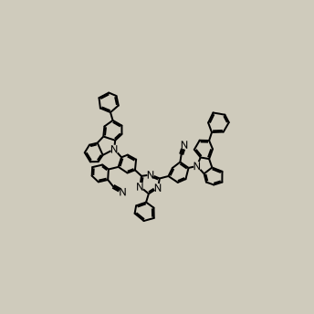 N#Cc1ccccc1-c1cc(-c2nc(-c3ccccc3)nc(-c3ccc(-n4c5ccccc5c5cc(-c6ccccc6)ccc54)c(C#N)c3)n2)ccc1-n1c2ccccc2c2cc(-c3ccccc3)ccc21